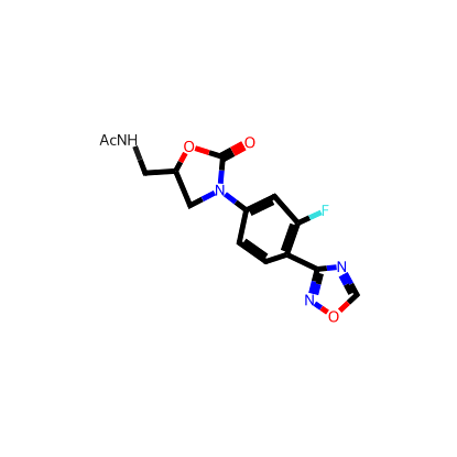 CC(=O)NCC1CN(c2ccc(-c3ncon3)c(F)c2)C(=O)O1